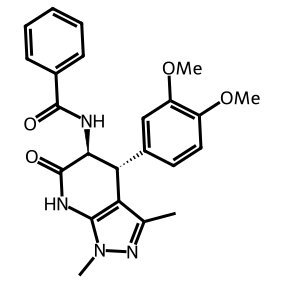 COc1ccc([C@@H]2c3c(C)nn(C)c3NC(=O)[C@H]2NC(=O)c2ccccc2)cc1OC